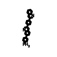 Pc1ccc(-c2ccc3cc(-c4ccc(-c5cnc6ccccc6c5)cc4)cnc3c2)cc1